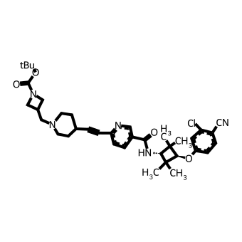 CC(C)(C)OC(=O)N1CC(CN2CCC(C#Cc3ccc(C(=O)N[C@H]4C(C)(C)[C@H](Oc5ccc(C#N)c(Cl)c5)C4(C)C)cn3)CC2)C1